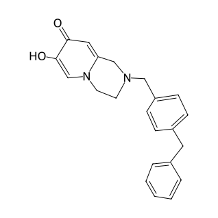 O=c1cc2n(cc1O)CCN(Cc1ccc(Cc3ccccc3)cc1)C2